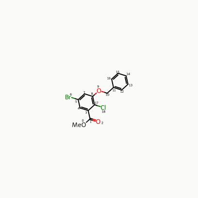 COC(=O)c1cc(Br)cc(OCc2ccccc2)c1Cl